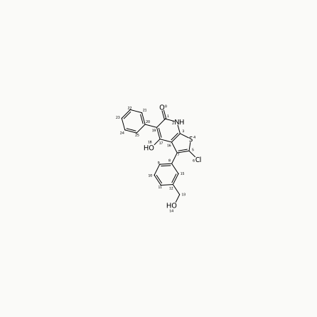 O=c1[nH]c2sc(Cl)c(-c3cccc(CO)c3)c2c(O)c1-c1ccccc1